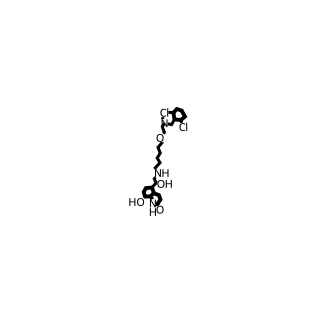 CN(CCOCCCCCCNCC(O)c1ccc(O)c2[nH]c(=O)ccc12)Cc1c(Cl)cccc1Cl